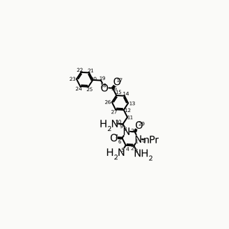 CCCn1c(N)c(N)c(=O)n(C(N)Cc2ccc(C(=O)OCc3ccccc3)cc2)c1=O